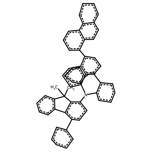 CC(C)(C)c1ccccc1N(c1ccccc1-c1ccc(-c2cccc3c2ccc2ccccc23)c2ccccc12)c1ccc(-c2ccccc2)c2c1C(C)(C)c1ccccc1-2